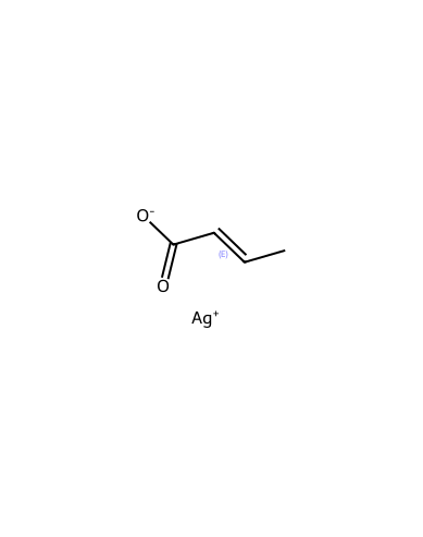 C/C=C/C(=O)[O-].[Ag+]